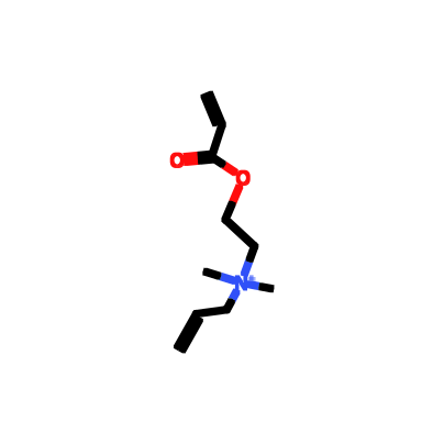 C=CC[N+](C)(C)CCOC(=O)C=C